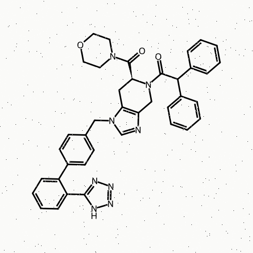 O=C([C@@H]1Cc2c(ncn2Cc2ccc(-c3ccccc3-c3nnn[nH]3)cc2)CN1C(=O)C(c1ccccc1)c1ccccc1)N1CCOCC1